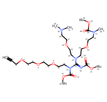 C#CCOCCOCCOCCN(C(=O)OC(C)(C)C)/C(=N/C(=O)OC(C)(C)C)N(CCOCCN(C)C)CCOCCN(C)C(=O)OC(C)(C)C